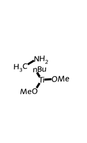 CCC[CH2][Ti]([O]C)[O]C.CN